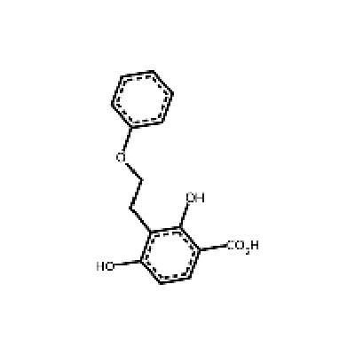 O=C(O)c1ccc(O)c(CCOc2ccccc2)c1O